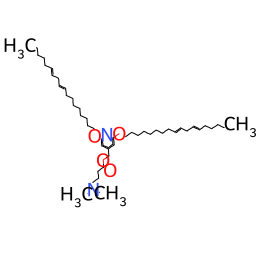 CCCCCC=CCC=CCCCCCCCCOc1cc(COC(=O)CCCN(C)C)cc(OCCCCCCCCC=CCC=CCCCCC)n1